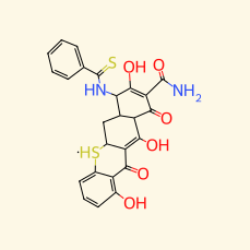 NC(=O)C1=C(O)C(NC(=S)c2ccccc2)C2CC3[SH]c4cccc(O)c4C(=O)C3=C(O)C2C1=O